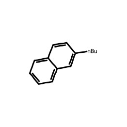 CC[CH]Cc1ccc2ccccc2c1